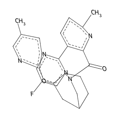 Cc1ccc(OC2CC3CCC2N(C(=O)c2nc(C)ccc2-c2ncc(F)cn2)C3)nc1